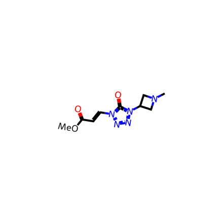 COC(=O)/C=C/n1nnn(C2CN(C)C2)c1=O